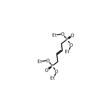 CCOP(=O)(CC=CCP(=O)(OCC)OCC)OCC